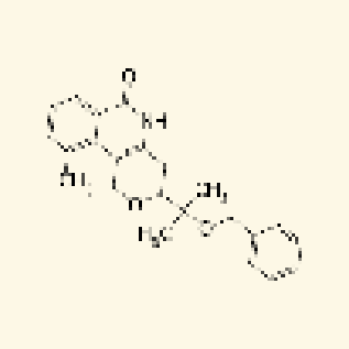 Cc1cccc2c(=O)[nH]c3c(c12)COC(C(C)(C)OCc1ccccc1)C3